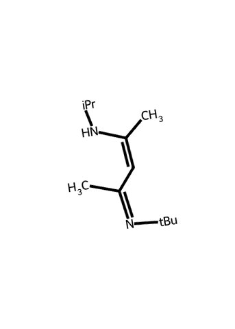 CC(=CC(C)=NC(C)(C)C)NC(C)C